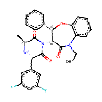 C[C@H](N)C(=O)N(C(=O)Cc1cc(F)cc(F)c1)[C@H]1C(=O)N(CC=O)c2ccccc2O[C@H]1c1ccccc1